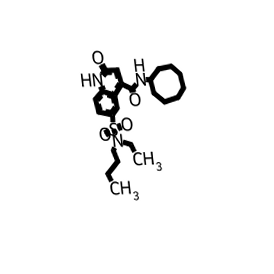 CCCCN(CC)S(=O)(=O)c1ccc2[nH]c(=O)cc(C(=O)NC3CCCCCCC3)c2c1